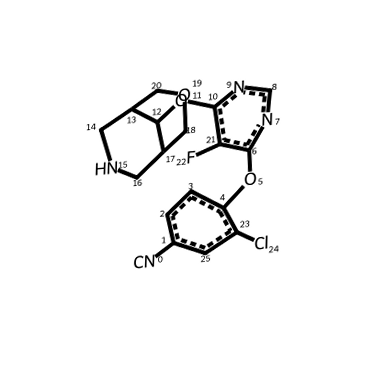 [C-]#[N+]c1ccc(Oc2ncnc(OC3C4CNCC3COC4)c2F)c(Cl)c1